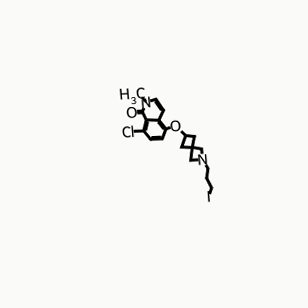 Cn1ccc2c(OC3CC4(C3)CN(CCCI)C4)ccc(Cl)c2c1=O